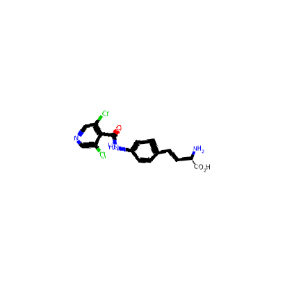 N[C@@H](CCc1ccc(NC(=O)c2c(Cl)cncc2Cl)cc1)C(=O)O